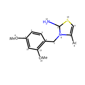 COc1ccc(CN2C(C(C)=O)=CSC2N)c(OC)c1